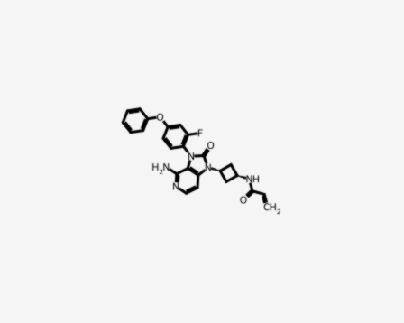 C=CC(=O)N[C@H]1C[C@@H](n2c(=O)n(-c3ccc(Oc4ccccc4)cc3F)c3c(N)nccc32)C1